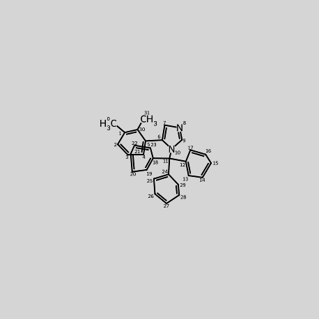 Cc1cccc(-c2cncn2C(c2ccccc2)(c2ccccc2)c2ccccc2)c1C